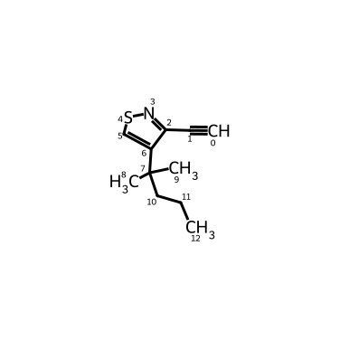 C#Cc1nscc1C(C)(C)CCC